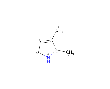 CC1=CCNC1C